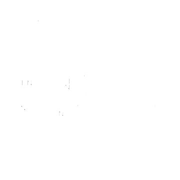 Cc1ccc(Nc2nc3ccccc3nc2NS(=O)(=O)c2ccc(Cl)cc2)cc1Cl